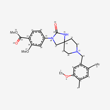 CCCc1cc(C)c(OCC)cc1CN1CCC2(CC1)CN(c1ccc(C(=O)OC)c(OC)c1)C(=O)N2